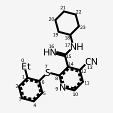 CCc1ccccc1Sc1nccc(C#N)c1C(=N)NC1CCCCC1